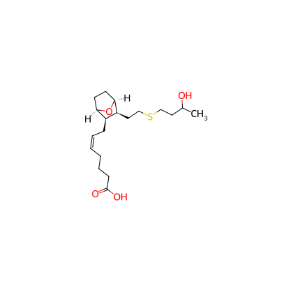 CC(O)CCSCC[C@H]1[C@@H](C/C=C\CCCC(=O)O)[C@H]2CC[C@@H]1O2